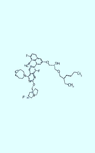 C#Cc1c(F)ccc2cc(OCC(O)COCC(CC)CCCC)cc(-c3ncc4c(N5CCCOCC5)nc(OC[C@@]56CCCN5C[C@H](F)C6)nc4c3F)c12